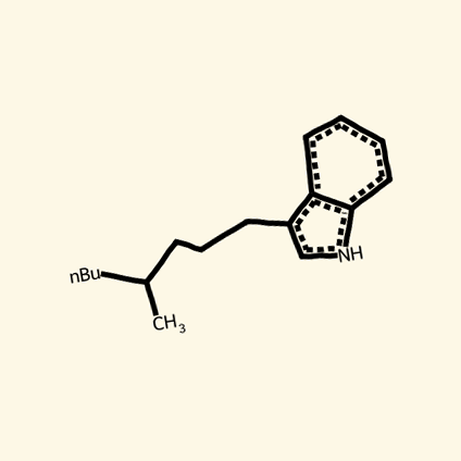 CCCCC(C)CCCc1c[nH]c2ccccc12